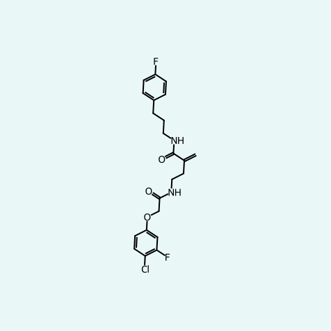 C=C(CCNC(=O)COc1ccc(Cl)c(F)c1)C(=O)NCCCc1ccc(F)cc1